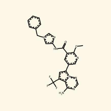 COc1ncc(-c2cc(C(F)(F)F)c3c(N)ncnn23)cc1C(=O)Nc1cn(Cc2ccccc2)cn1